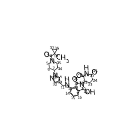 CC1(C(=O)N2CCC(n3cc(CNc4cccc5c4C(=O)N(C4CCC(=O)NC4=O)C5O)cn3)CC2)CC1